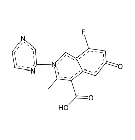 Cc1c(C(=O)O)c2cc(=O)cc(F)c-2cn1-c1cnccn1